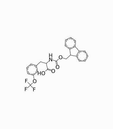 O=C(NC(Cc1cccc(OC(F)(F)F)c1)C(=O)O)OCC1c2ccccc2-c2ccccc21